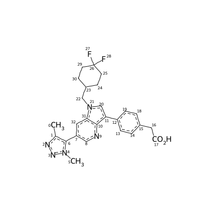 Cc1nnn(C)c1-c1cnc2c(-c3ccc(CC(=O)O)cc3)cn(CC3CCC(F)(F)CC3)c2c1